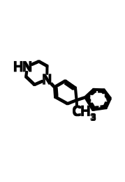 CC1(c2ccccc2)C=CC(N2CCNCC2)=CC1